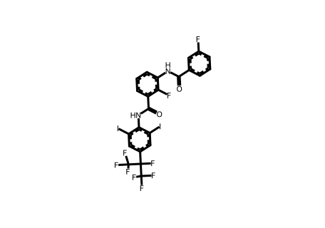 O=C(Nc1cccc(C(=O)Nc2c(I)cc(C(F)(C(F)(F)F)C(F)(F)F)cc2I)c1F)c1cccc(F)c1